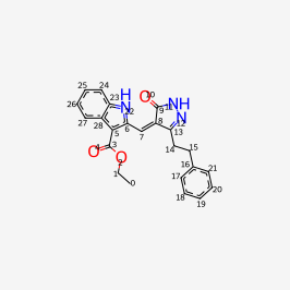 CCOC(=O)c1c(C=C2C(=O)NN=C2CCc2ccccc2)[nH]c2ccccc12